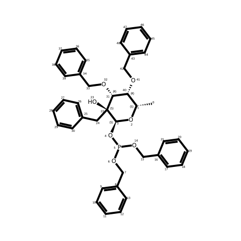 C[C@@H]1O[C@@H](OP(OCc2ccccc2)OCc2ccccc2)[C@](O)(Cc2ccccc2)[C@H](OCc2ccccc2)[C@@H]1OCc1ccccc1